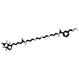 N/N=C/c1cccc(C(=O)NCCCOCCOCCOCCCNC(=O)CCCCC2SC[C@@H]3NC(=O)N[C@H]23)c1